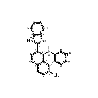 Clc1ccc2ncc(-c3nc4ccccc4[nH]3)c(Nc3cccnc3)c2c1